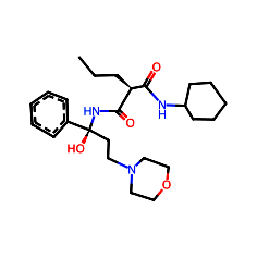 CCC[C@@H](C(=O)NC1CCCCC1)C(=O)N[C@](O)(CCN1CCOCC1)c1ccccc1